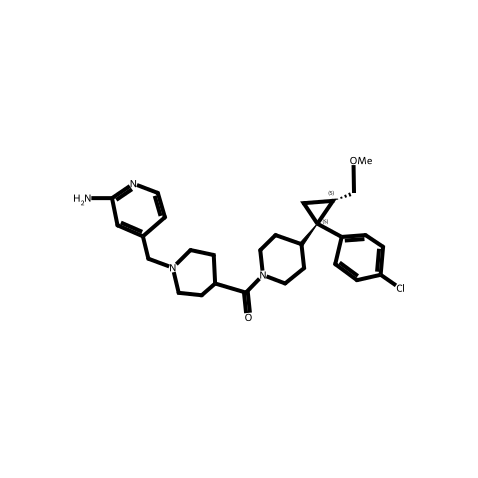 COC[C@H]1C[C@]1(c1ccc(Cl)cc1)C1CCN(C(=O)C2CCN(Cc3ccnc(N)c3)CC2)CC1